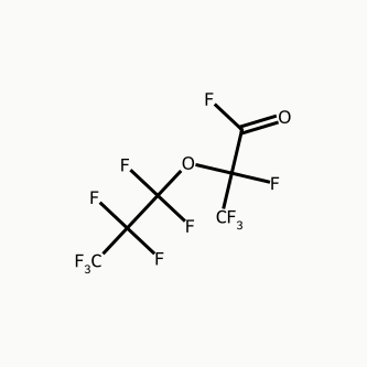 O=C(F)C(F)(OC(F)(F)C(F)(F)C(F)(F)F)C(F)(F)F